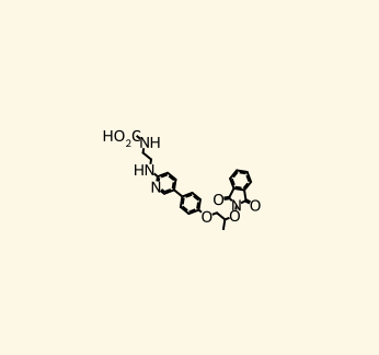 CC(COc1ccc(-c2ccc(NCCNC(=O)O)nc2)cc1)ON1C(=O)c2ccccc2C1=O